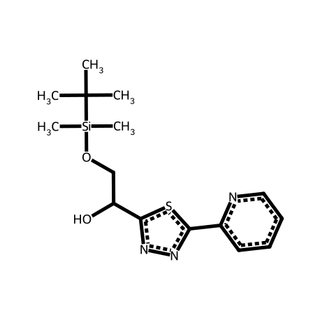 CC(C)(C)[Si](C)(C)OCC(O)c1nnc(-c2ccccn2)s1